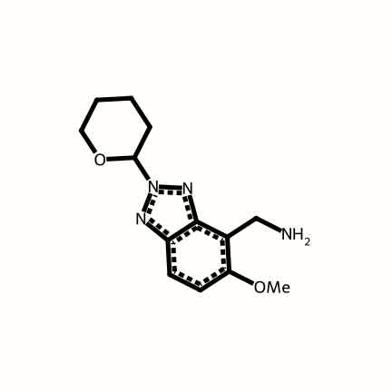 COc1ccc2nn(C3CCCCO3)nc2c1CN